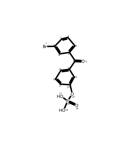 O=C(c1cccc(Br)c1)c1cccc(OP(=O)(O)O)c1